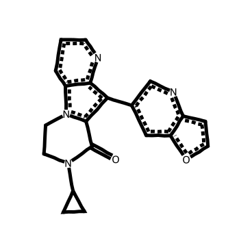 O=C1c2c(-c3cnc4ccoc4c3)c3ncccc3n2CCN1C1CC1